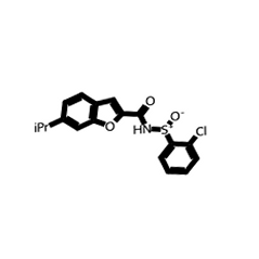 CC(C)c1ccc2cc(C(=O)N[S+]([O-])c3ccccc3Cl)oc2c1